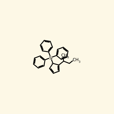 CCC(C)C1=CC=C[C]1[Si](c1ccccc1)(c1ccccc1)c1ccccc1